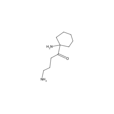 NCCCC(=O)C1(N)CCCCC1